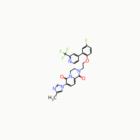 Cc1cn(-c2ccc3n(c2=O)CCN(CCOc2ccc(F)cc2-c2ccnc(C(F)(F)F)c2)C3=O)cn1